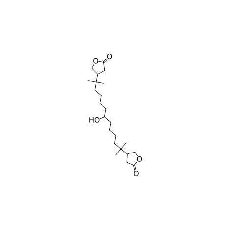 CC(C)(CCCCC(O)CCCCC(C)(C)C1COC(=O)C1)C1COC(=O)C1